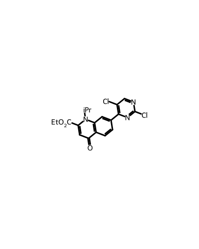 CCOC(=O)c1cc(=O)c2ccc(-c3nc(Cl)ncc3Cl)cc2n1C(C)C